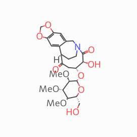 CO[C@@H]1[C@@H](OC)[C@H](O[C@@H]2CC(=O)[C@@H]3CCN(Cc4cc5c(cc43)OCO5)C(=O)[C@H]2O)O[C@H](CO)[C@H]1OC